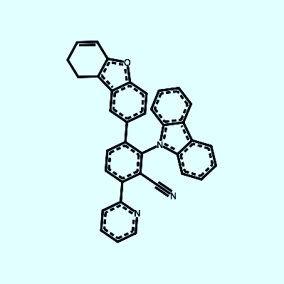 N#Cc1c(-c2ccccn2)ccc(-c2ccc3oc4c(c3c2)CCC=C4)c1-n1c2ccccc2c2ccccc21